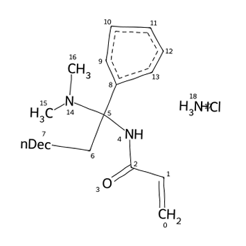 C=CC(=O)NC(CCCCCCCCCCC)(c1ccccc1)N(C)C.Cl.N